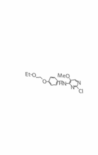 CCOCCOc1ccc(CNc2nc(Cl)ncc2OC)cc1